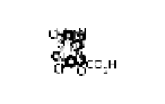 O=C(O)c1cn(-c2cc3cn[nH]c3cn2)c2cc(N3CCC[C@@H]3COc3ncccc3Cl)c(Cl)cc2c1=O